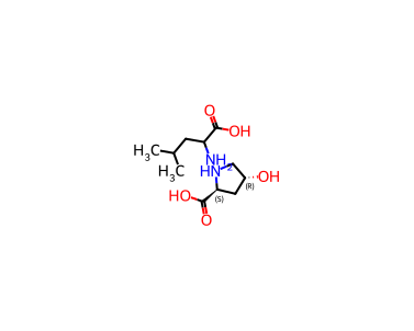 CC(C)CC(N)C(=O)O.O=C(O)[C@@H]1C[C@@H](O)CN1